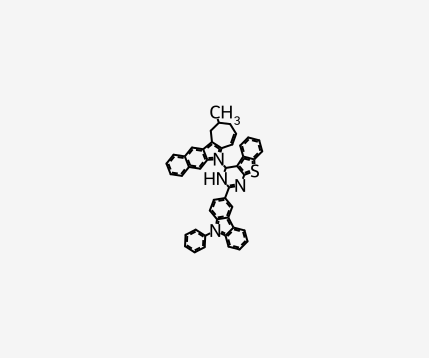 CC1CC=Cc2c(c3cc4ccccc4cc3n2C2NC(c3ccc4c(c3)c3ccccc3n4-c3ccccc3)=Nc3sc4ccccc4c32)C1